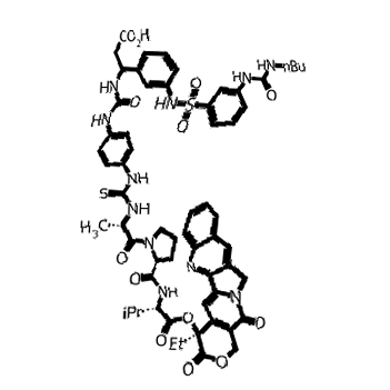 CCCCNC(=O)Nc1cccc(S(=O)(=O)Nc2cccc(C(CC(=O)O)NC(=O)Nc3ccc(NC(=S)N[C@@H](C)C(=O)N4CCC[C@H]4C(=O)N[C@H](C(=O)O[C@]4(CC)C(=O)OCc5c4cc4n(c5=O)Cc5cc6ccccc6nc5-4)C(C)C)cc3)c2)c1